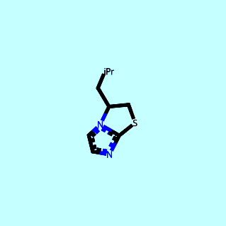 CC(C)CC1CSc2nccn21